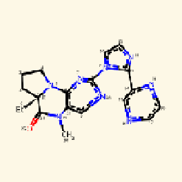 CC[C@@]12CCCN1c1nc(-n3ccnc3-c3cnccn3)ncc1N(C)C2=O